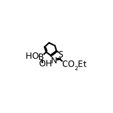 CCOC(=O)c1nc2c(s1)CCC=C2B(O)O